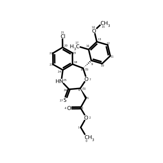 CCOC(=O)C[C@@H]1O[C@@H](c2cccc(OC)c2C)c2cc(Cl)ccc2NC1=S